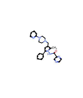 Cc1c(CN2CCN(c3ccccn3)CC2)cc(-c2ccccc2)n1NC(=O)c1cnccn1